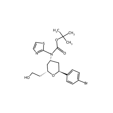 CC(C)(C)OC(=O)N(c1nccs1)[C@H]1C[C@@H](CCO)O[C@H](c2ccc(Br)cc2)C1